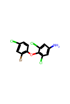 Nc1cc(Cl)c(Oc2ccc(Cl)cc2Br)c(Cl)c1